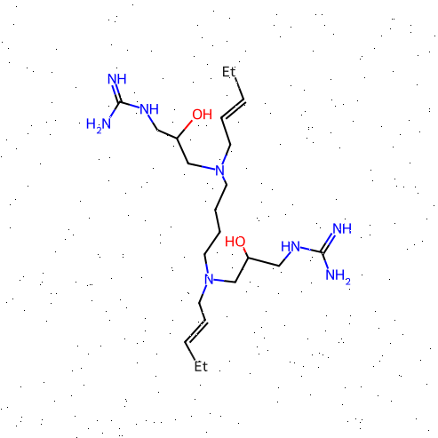 CCC=CCN(CCCCN(CC=CCC)CC(O)CNC(=N)N)CC(O)CNC(=N)N